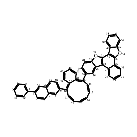 c1ccc(-c2ccc3cc(-c4ccccccc(-c5ccc6oc7c(c6c5)c5ccccc5c5oc6ccccc6c57)c5ccccc45)ccc3c2)cc1